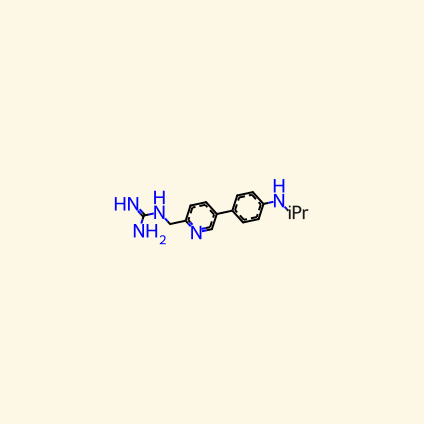 CC(C)Nc1ccc(-c2ccc(CNC(=N)N)nc2)cc1